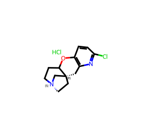 Cl.Clc1ccc2c(n1)C[C@@]13CC[N@](CCC1O2)C3